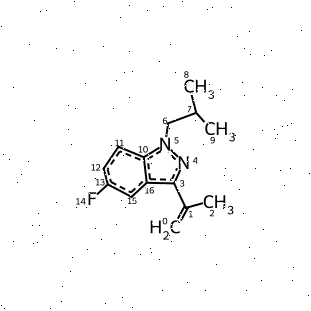 C=C(C)c1nn(CC(C)C)c2ccc(F)cc12